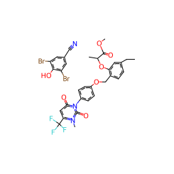 CCc1ccc(COc2ccc(-n3c(=O)cc(C(F)(F)F)n(C)c3=O)cc2)c(OC(C)C(=O)OC)c1.N#Cc1cc(Br)c(O)c(Br)c1